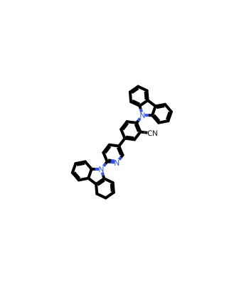 N#Cc1cc(-c2ccc(N3C4=C(CCC=C4)C4C=CC=CC43)nc2)ccc1-n1c2ccccc2c2ccccc21